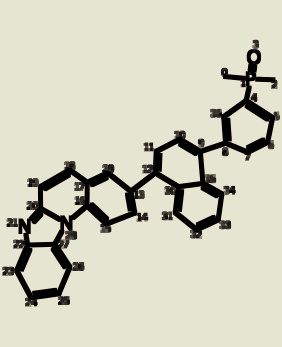 CP(C)(=O)c1cccc(-c2ccc(-c3ccc4c(ccc5nc6ccccc6n54)c3)c3ccccc23)c1